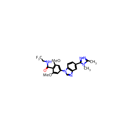 COc1cc(-n2cnc3cc(-c4nnc(C)n4C)ccc32)cc(OC)c1C(=O)NCC(F)(F)F